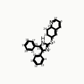 C1=CC2=CC(Sc3nc(-c4ccccc4)c(-c4ccccc4)[nH]3)CCC2N=C1